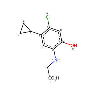 O=C(O)CNc1cc(C2CC2)c(Cl)cc1O